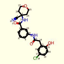 N#CC1(NC(=O)c2cccc(NC(=O)Cc3cc(Cl)ccc3O)c2)CCOCC1